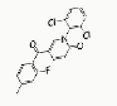 Cc1ccc(C(=O)c2ccc(=O)n(-c3c(Cl)cccc3Cl)c2)c(F)c1